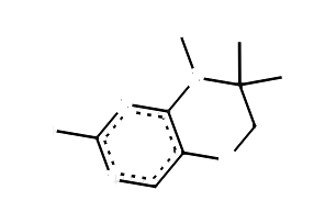 CN1c2nc(Cl)ncc2OCC1(C)C